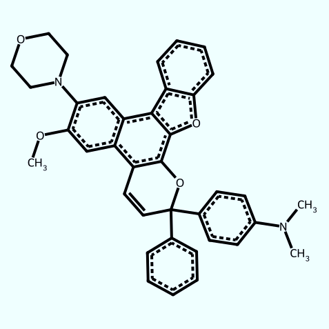 COc1cc2c3c(c4oc5ccccc5c4c2cc1N1CCOCC1)OC(c1ccccc1)(c1ccc(N(C)C)cc1)C=C3